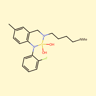 CNCCCCN1Cc2cc(C)ccc2N(c2ccccc2F)S1(O)O